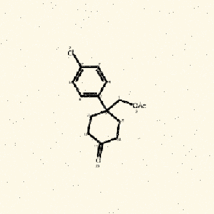 CC(=O)OCC1(c2ccc(Cl)cc2)CCC(=O)CC1